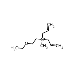 C=CC[N+](C)(CC=C)CCOCC